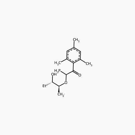 [CH2][C@H](OC(P)C(=O)c1c(C)cc(C)cc1C)[C@@H](O)CC